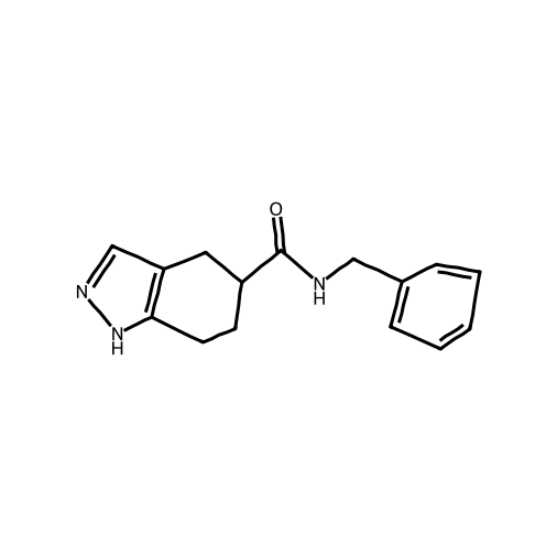 O=C(NCc1ccccc1)C1CCc2[nH]ncc2C1